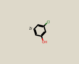 Oc1cccc(Cl)c1.[Zr]